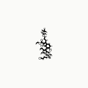 CCOC(=O)c1[nH]c2c(-c3c(CN(C)S(=O)(=O)CCCCl)nn(C)c3CC)c(Cl)ccc2c1CCCO[Si](C)(C)C(C)(C)C